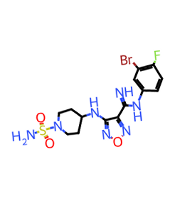 N=C(Nc1ccc(F)c(Br)c1)c1nonc1NC1CCN(S(N)(=O)=O)CC1